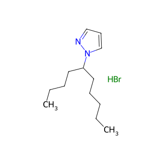 Br.CCCCCC(CCCC)n1cccn1